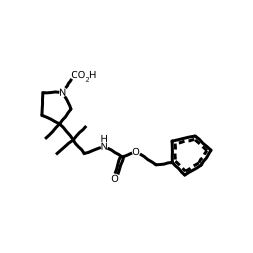 CC(C)(CNC(=O)OCc1ccccc1)C1(C)CCN(C(=O)O)C1